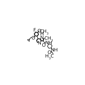 CCC(=O)N[C@H]1CC[C@H](NC(=O)c2c(C)[nH]c3c(-c4cc(OC)c(F)cc4OCC4CC4)ccnc23)CC1